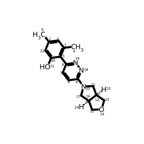 Cc1cc(C)c(-c2ccc(N3C[C@H]4COC[C@H]4C3)nn2)c(O)c1